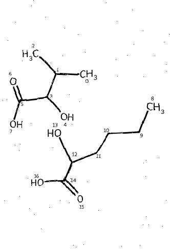 CC(C)C(O)C(=O)O.CCCCC(O)C(=O)O